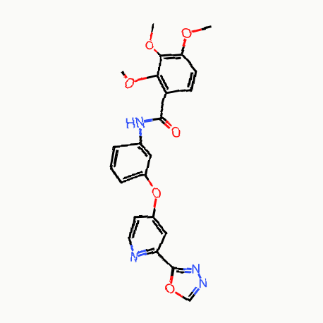 COc1ccc(C(=O)Nc2cccc(Oc3ccnc(-c4nnco4)c3)c2)c(OC)c1OC